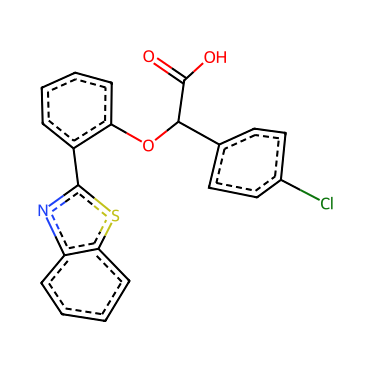 O=C(O)C(Oc1ccccc1-c1nc2ccccc2s1)c1ccc(Cl)cc1